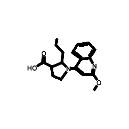 CCCC1C(C(=O)O)CCN1c1cc(OC)nc2ccccc12